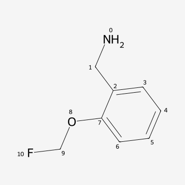 NCc1ccccc1OCF